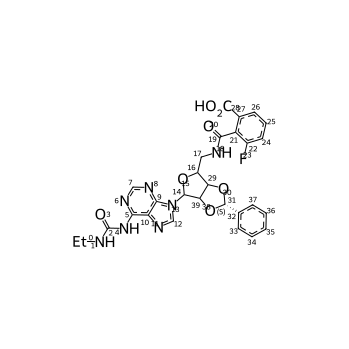 CCNC(=O)Nc1ncnc2c1ncn2C1OC(CNC(=O)c2c(F)cccc2C(=O)O)C2O[C@H](c3ccccc3)OC21